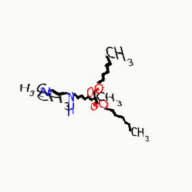 CCCCCCCCOC(=O)C(C)(CCCCCCNCCCN(C)C)C(=O)OCCCCCCCC